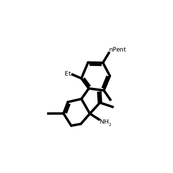 C=C(C)C1(N)CCC(C)=CC1c1c(C)cc(CCCCC)cc1CC